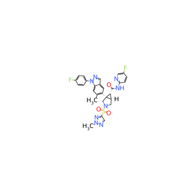 Cc1cc2c(cnn2-c2ccc(F)cc2)cc1[C@@]12CN(S(=O)(=O)c3cnn(C)n3)C[C@@H]1[C@H]2C(=O)Nc1ccc(F)cn1